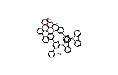 CC(C)(C)c1cc2c3c(c1)N(c1c(-c4ccccc4)cccc1-c1ccccc1)c1ccc(-c4cc(-c5ccccc5C(C)(C)C)cc(-n5c6ccccc6c6ccccc65)n4)cc1B3c1cc(-c3cccc(-n4c5ccccc5c5ccccc54)n3)ccc1O2